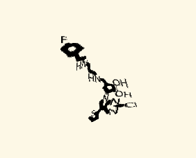 O[C@@H]1[C@H](O)C(CNCCCNCCc2ccc(F)cc2)C[C@H]1n1cc(-c2cccs2)c2cnc(Cl)nc21